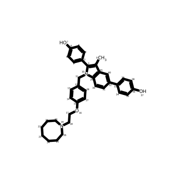 Cc1c(-c2ccc(O)cc2)n(Cc2ccc(OCCN3CCCCCCC3)cc2)c2ccc(-c3ccc(O)cc3)cc12